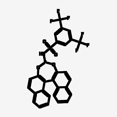 O=S(=O)(Np1oc2ccc3ccccc3c2c2c(ccc3ccccc32)o1)c1cc(C(F)(F)F)cc(C(F)(F)F)c1